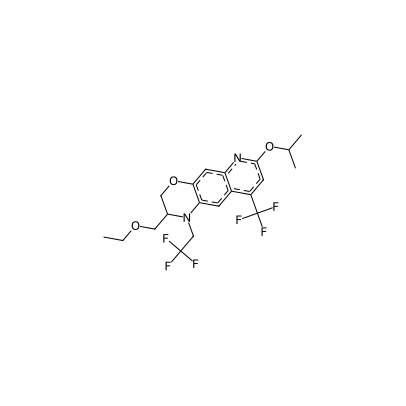 CCOCC1COc2cc3nc(OC(C)C)cc(C(F)(F)F)c3cc2N1CC(F)(F)F